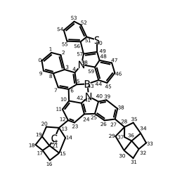 c1ccc2c3c4c(cc2c1)-c1cc(C25CC6CC7CC(C2)C76C5)cc2c5cc(C67CC8CC9CC(C6)C98C7)ccc5n(c12)B4c1cccc2c4sc5ccccc5c4n-3c12